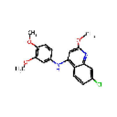 COc1cc(Nc2ccc(OC)c(OC)c2)c2ccc(Cl)cc2n1